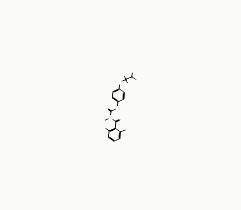 CN(C(=O)Nc1ccc(OC(F)(F)C(F)F)cc1)C(=O)c1c(F)cccc1F